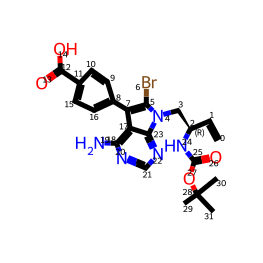 C=C[C@H](Cn1c(Br)c(-c2ccc(C(=O)O)cc2)c2c(N)ncnc21)NC(=O)OC(C)(C)C